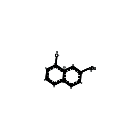 CCCCc1ccc2cccc([O])c2c1